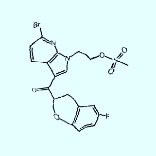 CS(=O)(=O)OCCn1cc(C(=O)C2COc3ccc(F)cc3C2)c2ccc(Br)nc21